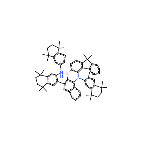 Cc1cc2c(cc1N1c3c(ccc4c3-c3ccccc3C4(C)C)Bc3c(-c4cc5c(cc4Nc4ccc6c(c4)C(C)(C)CCC6(C)C)C(C)(C)CCC5(C)C)cc4ccccc4c31)C(C)(C)CCC2(C)C